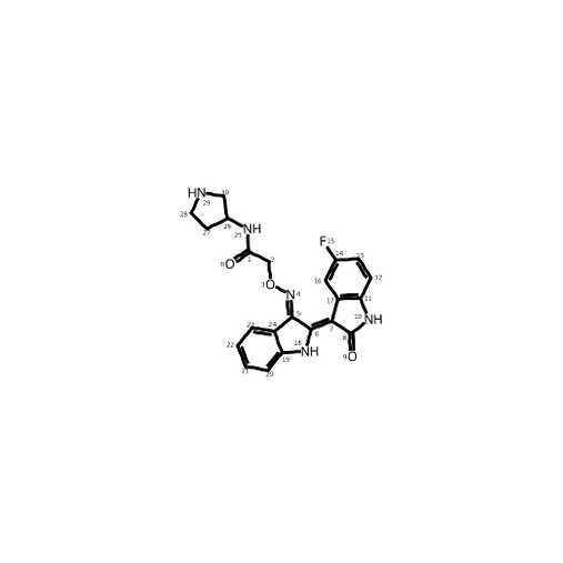 O=C(CO/N=C1/C(=C2/C(=O)Nc3ccc(F)cc32)Nc2ccccc21)NC1CCNC1